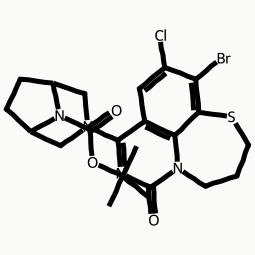 CC(C)(C)OC(=O)N1C2CCC1CN(c1nc(=O)n3c4c(c(Br)c(Cl)cc14)SCCC3)C2